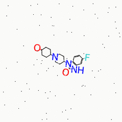 O=C1CCC(N2CCC(n3c(=O)[nH]c4cc(F)ccc43)CC2)CC1